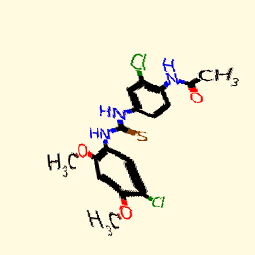 COc1cc(OC)c(NC(=S)Nc2ccc(NC(C)=O)c(Cl)c2)cc1Cl